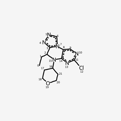 CCC1c2nncn2-c2cnc(Cl)nc2N1C1CCOCC1